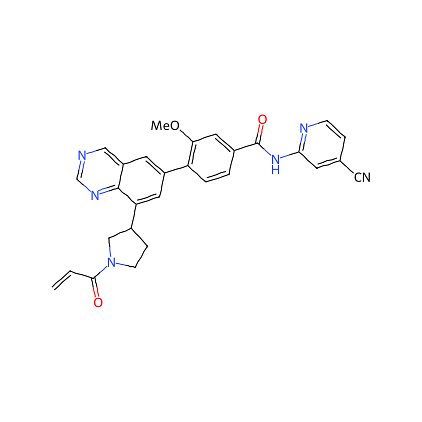 C=CC(=O)N1CCC(c2cc(-c3ccc(C(=O)Nc4cc(C#N)ccn4)cc3OC)cc3cncnc23)C1